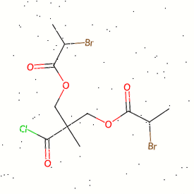 CC(Br)C(=O)OCC(C)(COC(=O)C(C)Br)C(=O)Cl